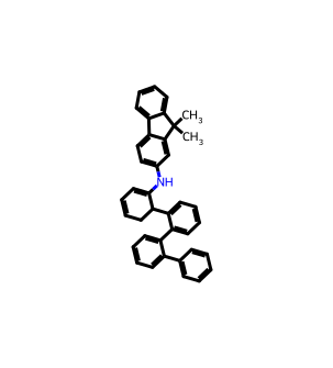 CC1(C)c2ccccc2-c2ccc(NC3=CC=CCC3c3ccccc3-c3ccccc3-c3ccccc3)cc21